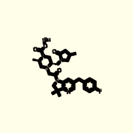 CC1CC(=O)N(C[C@H]2CN(C(=O)OC(C)(C)C)[C@H](C)CN2CC(=O)N2CC(C)(C)c3ncc(Cc4ccc(F)cc4)cc32)C1